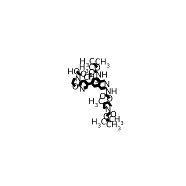 Cc1c(-c2cc3cc(NC(=O)OC4CN(C(=O)OC(C)(C)C)CC4C)ncc3c(NC(=O)OC(C)(C)C)c2F)cnc2c1N(C(=O)O)CCO2